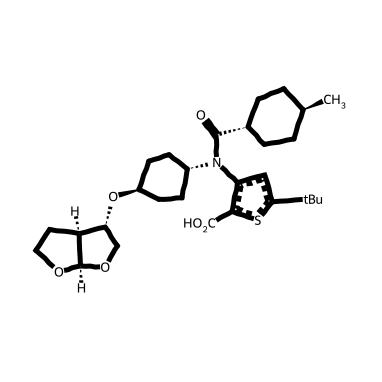 CC(C)(C)c1cc(N(C(=O)[C@H]2CC[C@H](C)CC2)[C@H]2CC[C@H](O[C@@H]3CO[C@H]4OCC[C@H]43)CC2)c(C(=O)O)s1